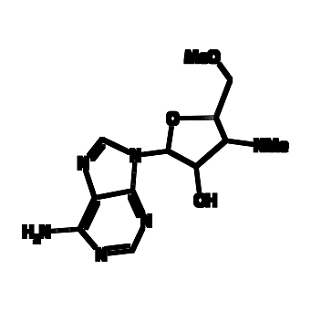 CNC1C(COC)OC(n2cnc3c(N)ncnc32)C1O